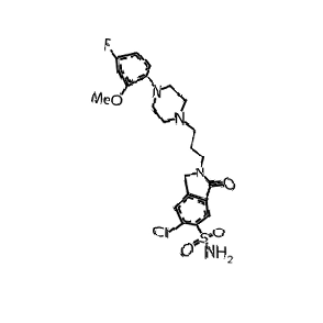 COc1cc(F)ccc1N1CCN(CCCN2Cc3cc(Cl)c(S(N)(=O)=O)cc3C2=O)CC1